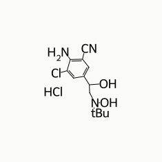 CC(C)(C)N(O)CC(O)c1cc(Cl)c(N)c(C#N)c1.Cl